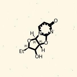 CC[C@H]1O[C@@H]2[C@H](Oc3nc(=O)ccn32)C1O